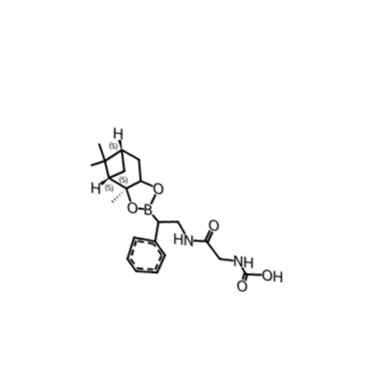 CC1(C)[C@@H]2CC3OB(C(CNC(=O)CNC(=O)O)c4ccccc4)O[C@@]3(C)[C@H]1C2